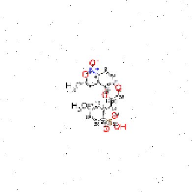 CC=Cc1c([N+](=O)[O-])ccc2c1O[C@H](Cc1cc(C)ccc1S(=O)(=O)O)CO2